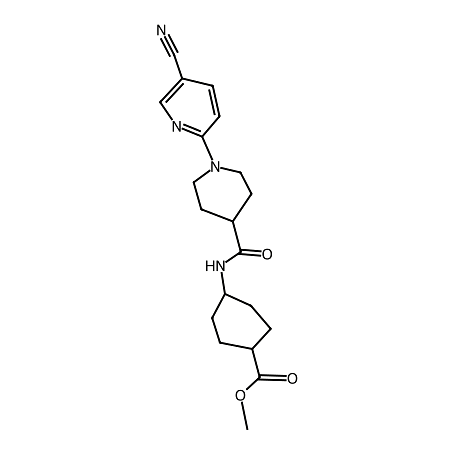 COC(=O)C1CCC(NC(=O)C2CCN(c3ccc(C#N)cn3)CC2)CC1